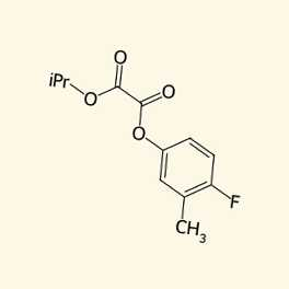 Cc1cc(OC(=O)C(=O)OC(C)C)ccc1F